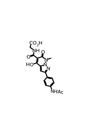 CC(=O)Nc1ccc(-c2cc3c(O)c(C(=O)NCC(=O)O)c(=O)n(C)n3n2)cc1